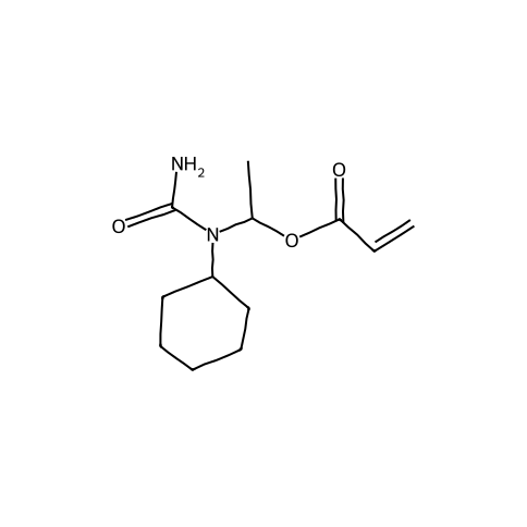 C=CC(=O)OC(C)N(C(N)=O)C1CCCCC1